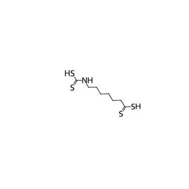 S=C(S)CCCCCCNC(=S)S